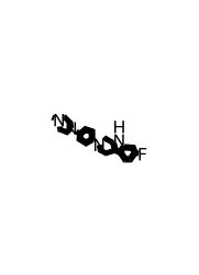 CN1CCN(c2ccc(N3CCc4c([nH]c5cc(F)ccc45)C3)cc2)CC1